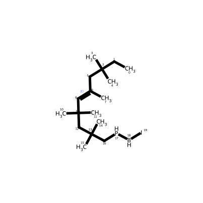 CCC(C)(C)C/C(C)=C/C(C)(C)CC(C)(C)CPBI